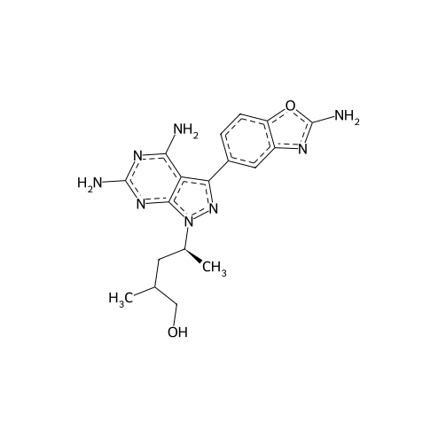 CC(CO)C[C@H](C)n1nc(-c2ccc3oc(N)nc3c2)c2c(N)nc(N)nc21